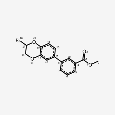 COC(=O)c1cccc(-c2ccc3c(c2)OCC(Br)O3)c1